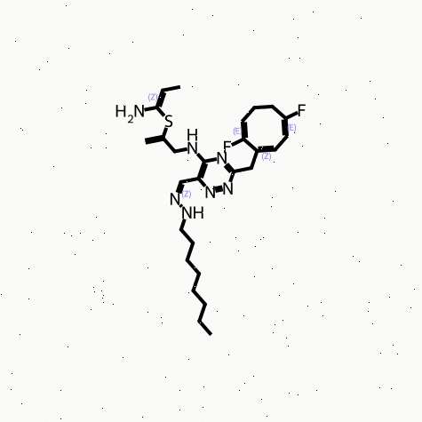 C=C(CNc1nc(CC2=C/C=C(/F)CC/C=C\2F)nnc1/C=N\NCCCCCCCC)S/C(N)=C\C